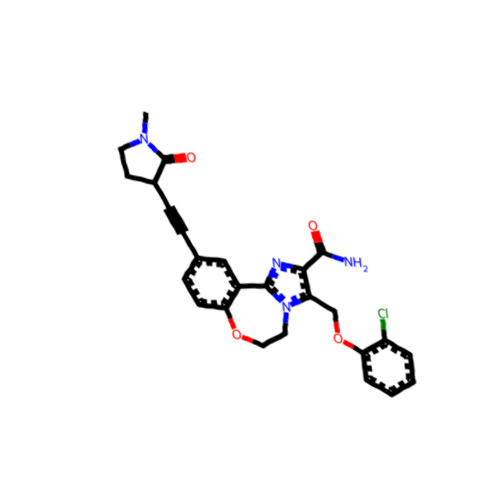 CN1CCC(C#Cc2ccc3c(c2)-c2nc(C(N)=O)c(COc4ccccc4Cl)n2CCO3)C1=O